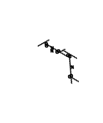 CCCCCCCCC(CCCCCC)COC(=O)CCCCCN(CCCCCC(=O)OCC(CCCCCCCC)CCCC(CC)CCCCCCC(CCCCCCCC)C(=O)OCCCCCCCCCC(CCCCCCCCCOC(=O)C(CCCCCC)CCCCCCCC)CN(C)C)CCN(C)C